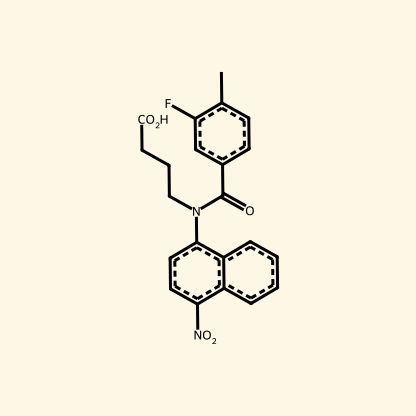 Cc1ccc(C(=O)N(CCCC(=O)O)c2ccc([N+](=O)[O-])c3ccccc23)cc1F